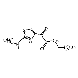 O=CNc1nc(C(=O)C(=O)NCC(=O)O)cs1